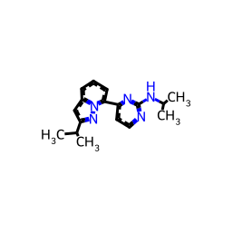 CC(C)Nc1nccc(-c2cccc3cc(C(C)C)nn23)n1